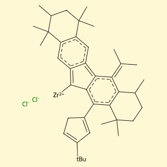 CC(C)=c1c2c(c(C3=CC(C(C)(C)C)=CC3)c3c1=c1cc4c(cc1=[C]3[Zr+2])C(C)(C)C(C)CC4(C)C)C(C)(C)CCC2C.[Cl-].[Cl-]